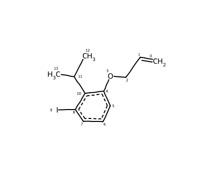 C=CCOc1cccc(I)c1C(C)C